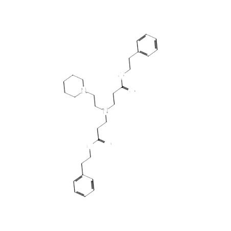 O=C(CCN(CCC(=O)OCCc1ccccc1)CCN1CCCCC1)OCCc1ccccc1